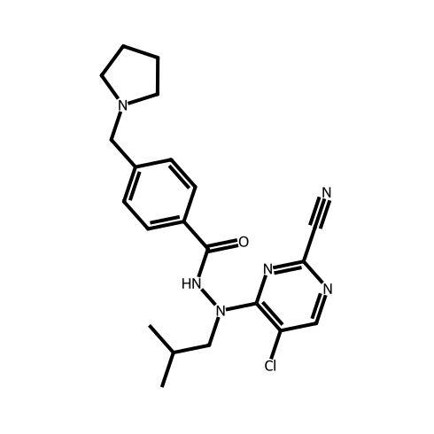 CC(C)CN(NC(=O)c1ccc(CN2CCCC2)cc1)c1nc(C#N)ncc1Cl